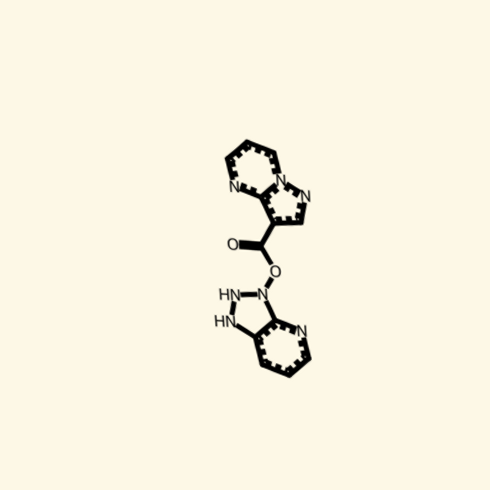 O=C(ON1NNc2cccnc21)c1cnn2cccnc12